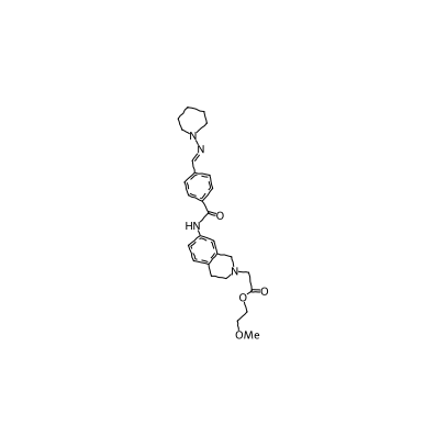 COCCOC(=O)CN1CCc2ccc(NC(=O)c3ccc(C=NN4CCCCC4)cc3)cc2C1